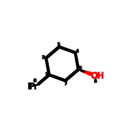 CC(C)C1CCC[C@@H](O)C1